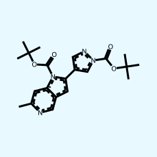 Cc1cc2c(cn1)cc(-c1cnn(C(=O)OC(C)(C)C)c1)n2C(=O)OC(C)(C)C